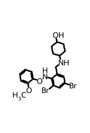 COc1ccccc1ONc1c(Br)cc(Br)cc1CNC1CCC(O)CC1